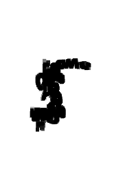 COc1ccc2c(c1)C(=O)N(C[C@@]1(c3ccc(-c4ccc5c(c4)CN(CC4(C)NC(=O)NC4=O)C5=O)cc3)NC(=O)NC1=O)C2